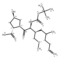 C=CCCC(C)C[C@@H](COC)[C@H](NC(=O)OC(C)(C)C)C(=O)N1C[C@H](O)C[C@H]1C(=O)O